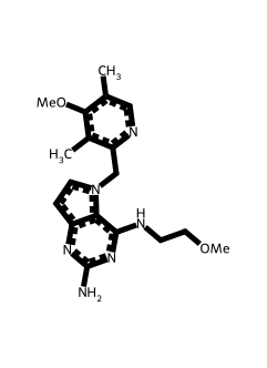 COCCNc1nc(N)nc2ccn(Cc3ncc(C)c(OC)c3C)c12